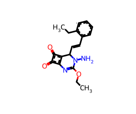 CCOC1=Nc2c(c(=O)c2=O)C(C=Cc2ccc[c]c2CC)N1N